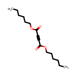 CCCCCCOC(=O)C#CC(=O)OCCCCCC